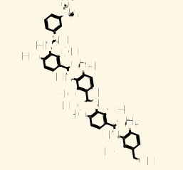 CCc1ccc(O)c(NC(C)c2ccc(O)c(NC(C)c3ccc(O)c(NC(C)c4ccc(O)c(NNc5cccc([N+](=O)[O-])c5)c4O)c3O)c2O)c1O